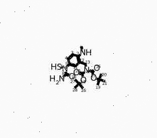 CNc1ccc(N(S)C(N)=O)cc1CN(C(=O)OC(C)(C)C)C(=O)OC(C)(C)C